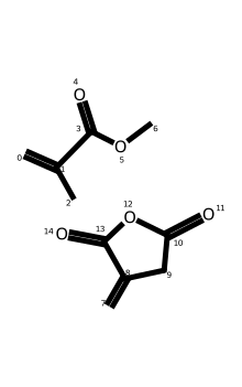 C=C(C)C(=O)OC.C=C1CC(=O)OC1=O